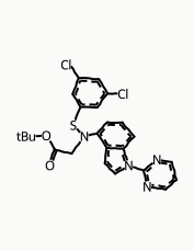 CC(C)(C)OC(=O)CN(Sc1cc(Cl)cc(Cl)c1)c1cccc2c1ccn2-c1ncccn1